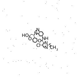 CSc1ncc(Cl)c(C(=O)Nc2ccc3ncn(C(CC(=O)O)c4ccccc4)c3c2)n1